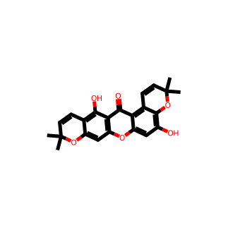 CC1(C)C=Cc2c(cc3oc4cc(O)c5c(c4c(=O)c3c2O)C=CC(C)(C)O5)O1